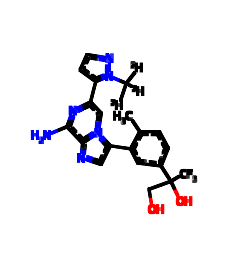 [2H]C([2H])([2H])n1nccc1-c1cn2c(-c3cc(C(O)(CO)C(F)(F)F)ccc3C)cnc2c(N)n1